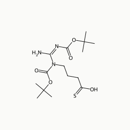 CC(C)(C)OC(=O)N=C(N)N(CCCC(O)=S)C(=O)OC(C)(C)C